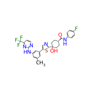 Cc1cc(Nc2nccc(C(F)(F)F)n2)cc(-c2cnc([C@]3(O)CC[C@@H](C(=O)Nc4ccc(F)cc4)CC3)s2)c1